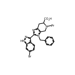 CC(C)N1Cc2c(nc(-c3n[nH]c4cc(Br)ccc34)n2Cc2ccccc2)CC1C(=O)O